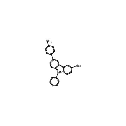 CC(C)(C)c1ccc2c(c1)c1cc(-c3ccc(N)cc3)ccc1n2-c1ccccc1